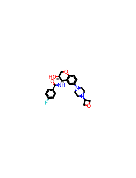 O=C(N[C@H]1c2cc(N3CCN(C4COC4)CC3)ccc2OC[C@@H]1O)c1ccc(F)cc1